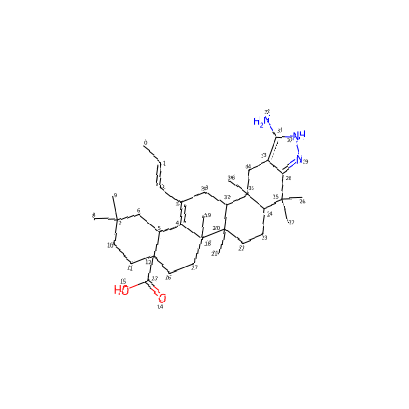 CC=CC1=C2C3CC(C)(C)CCC3(C(=O)O)CCC2(C)C2(C)CCC3C(C)(C)c4n[nH]c(N)c4CC3(C)C2C1